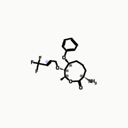 C[C@@H]1OC(=O)[C@@H](N)CCC[C@H](Oc2ccccc2)[C@H]1OC/C=C/C(F)(F)F